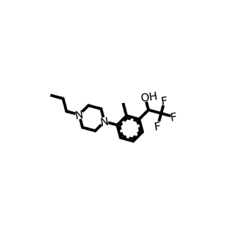 CCCN1CCN(c2cccc(C(O)C(F)(F)F)c2C)CC1